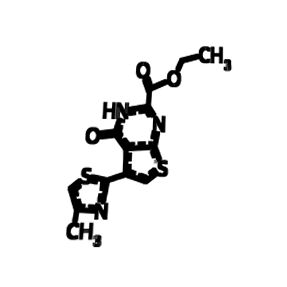 CCOC(=O)c1nc2scc(-c3nc(C)cs3)c2c(=O)[nH]1